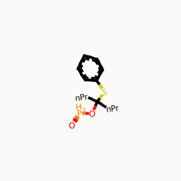 CCCC(CCC)(O[PH2]=O)Sc1ccccc1